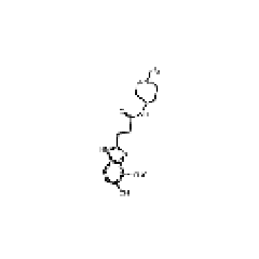 CN1CCC(NC(=O)CCc2nc3c(C=O)c(O)ccc3[nH]2)CC1